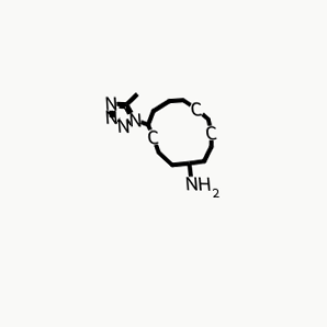 Cc1nnnn1C1CCCCCCCCC(N)CCC1